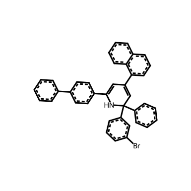 Brc1cccc(C2(c3ccccc3)C=C(c3cccc4ccccc34)C=C(c3ccc(-c4ccccc4)cc3)N2)c1